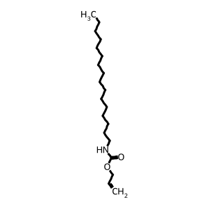 C=CCOC(=O)NCCCCCCCCCCCCCCCC